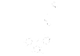 O=C(O)CCCCC(=O)NCCOc1ncccc1C=C1c2ccccc2-c2ccc(F)cc21